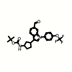 CC(C)(C)OC(=O)NC1CCC(c2cn(-c3ccc(OC(F)(F)F)cc3)c3cc(C=O)ccc23)C1